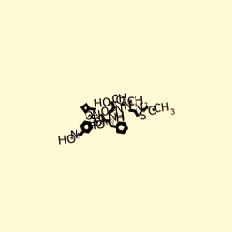 COCc1nc(CN(C)C(=O)N[C@H](C(=O)N[C@@H](Cc2ccccc2)[C@H](O)CN(CC2CCC2)S(=O)(=O)c2ccc(/C=N/O)cc2)[C@H](C)O)cs1